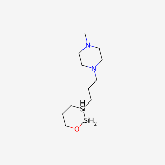 CN1CCN(CCC[SiH]2CCCO[SiH2]2)CC1